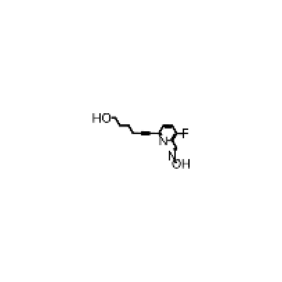 OCCCCC#Cc1ccc(F)c(C=NO)n1